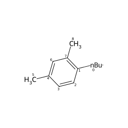 CCC[CH]c1ccc(C)cc1C